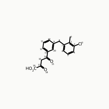 Cc1c(Cl)cccc1Cc1cccc(C(=O)CC(=O)C(=O)O)c1